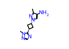 Cc1nn([C@H]2C[C@H](c3ncnn3C)C2)cc1N